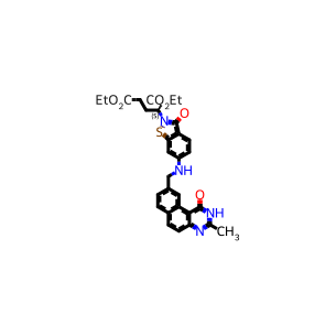 CCOC(=O)CC[C@@H](C(=O)OCC)n1sc2cc(NCc3ccc4ccc5nc(C)[nH]c(=O)c5c4c3)ccc2c1=O